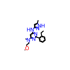 CCc1ccccc1-c1nc(Nc2cc(C)[nH]n2)cc(N(C)CCOC)n1